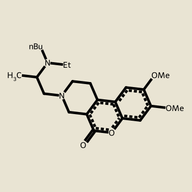 CCCCN(CC)C(C)CN1CCc2c(c(=O)oc3cc(OC)c(OC)cc23)C1